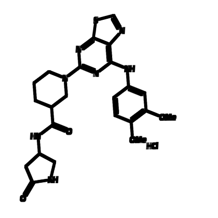 COc1ccc(Nc2nc(N3CCCC(C(=O)NC4CNC(=O)C4)C3)nc3scnc23)cc1OC.Cl